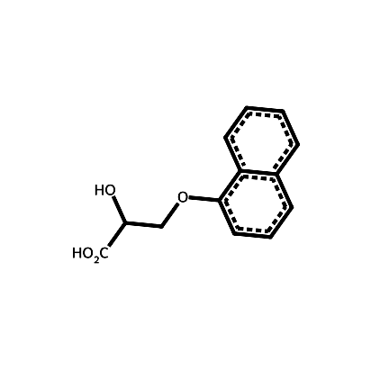 O=C(O)C(O)COc1cccc2ccccc12